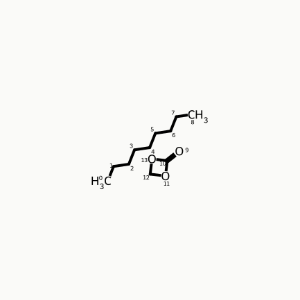 CCCCCCCCC.O=C1OCO1